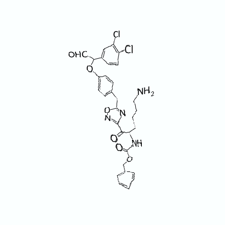 NCCCCC(NC(=O)OCc1ccccc1)C(=O)c1noc(Cc2ccc(OC(C=O)c3ccc(Cl)c(Cl)c3)cc2)n1